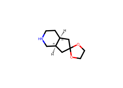 C1C[C@H]2CC3(C[C@H]2CN1)OCCO3